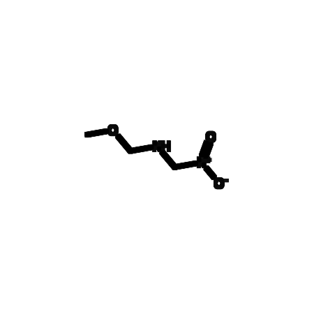 COCNC[N+](=O)[O-]